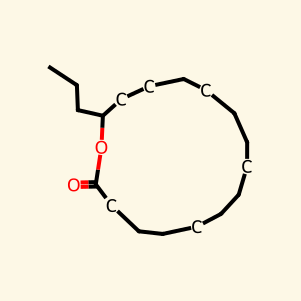 CCCC1CCCCCCCCCCCCCC(=O)O1